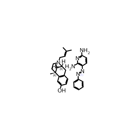 CC(C)=CCN1CC[C@@]2(C)c3cc(O)ccc3C[C@@H]1[C@@H]2C.Nc1ccc(/N=N/c2ccccc2)c(N)n1